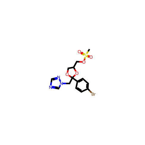 CS(=O)(=O)OCC1COC(Cn2cncn2)(c2ccc(Br)cc2)O1